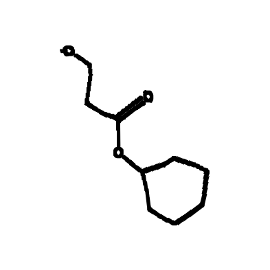 [O]CCC(=O)OC1CCCCC1